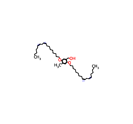 CCCCC/C=C\C/C=C\CCCCCCCCOc1cc(CO)c(OCCCCCCCC/C=C\C/C=C\CCCCC)cc1C